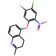 CC1=Nc2cccc(Oc3cc(F)c(F)cc3[N+](=O)[O-])c2CC1